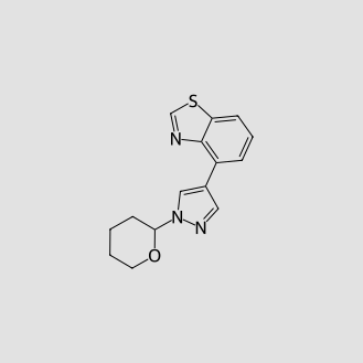 c1cc(-c2cnn(C3CCCCO3)c2)c2ncsc2c1